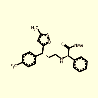 CNC(=O)[C@H](NCC[C@H](c1ccc(C(F)(F)F)cc1)c1cc(C)no1)c1ccccc1